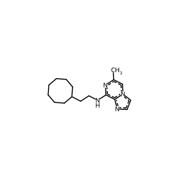 Cc1cn2ccnc2c(NCCC2CCCCCCC2)n1